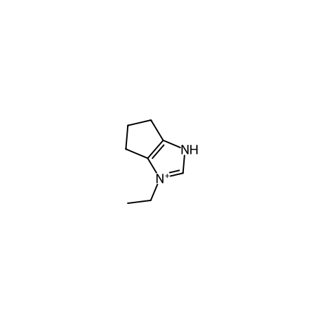 CC[n+]1c[nH]c2c1CCC2